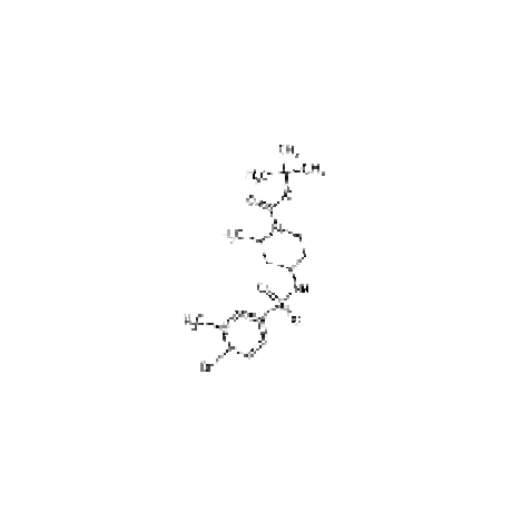 Cc1cc(S(=O)(=O)NC2CCN(C(=O)OC(C)(C)C)C(C)C2)ccc1Br